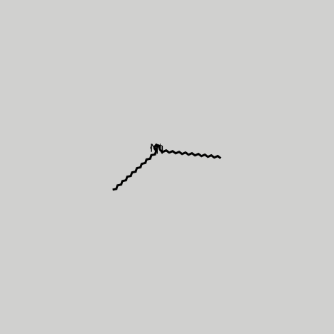 CCCCCCCCCCCCCCCCCCCn1cc[n+](C)c1CCCCCCCCCCCCCCCCCC